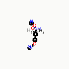 CC(C)(NC(=O)OC1CN2CCC1CC2)c1ccc(-c2ccc(OCCn3cccn3)cc2)cc1